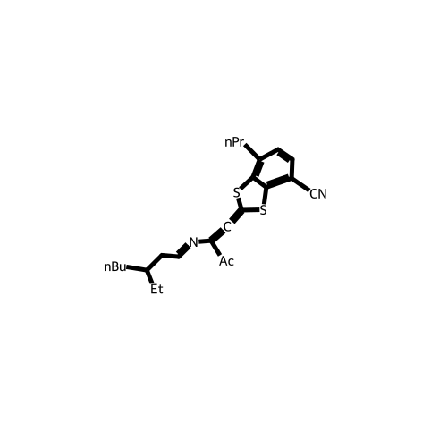 CCCCC(CC)C/C=N/C(=C=C1Sc2c(C#N)ccc(CCC)c2S1)C(C)=O